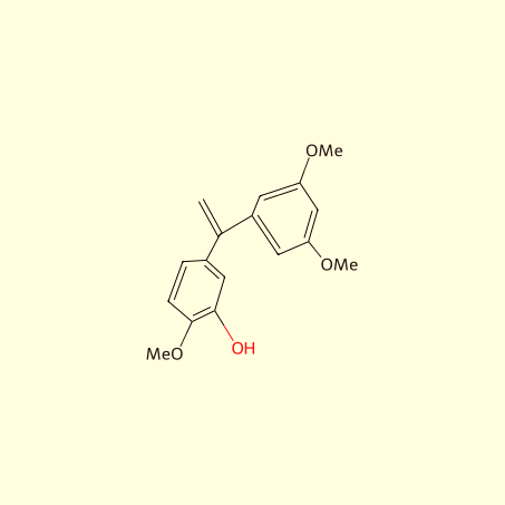 C=C(c1cc(OC)cc(OC)c1)c1ccc(OC)c(O)c1